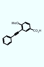 COc1ccc(C(=O)O)cc1C#Cc1ccccc1